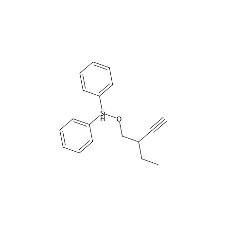 C#CC(CC)CO[SiH](c1ccccc1)c1ccccc1